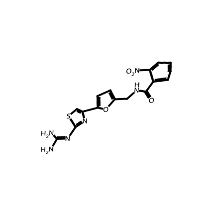 NC(N)=Nc1nc(-c2ccc(CNC(=O)c3ccccc3[N+](=O)[O-])o2)cs1